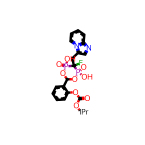 CC(C)OC(=O)Oc1ccccc1C1OP(=O)(O)C(F)(Cc2cnc3ccccn23)P(=O)(O)O1